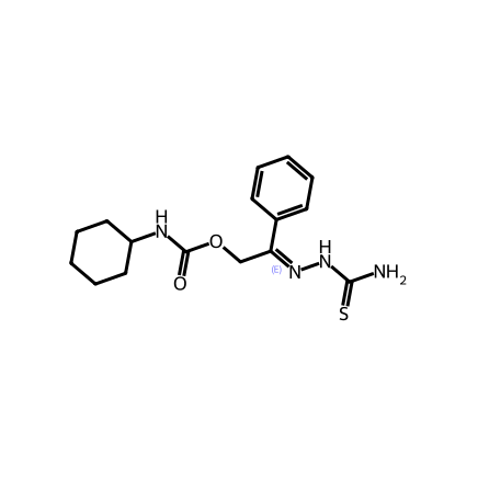 NC(=S)N/N=C(/COC(=O)NC1CCCCC1)c1ccccc1